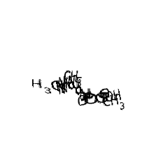 CN(c1ccc(-c2ccc(N3C[C@H](COP(C)(=O)O)OC3=O)cc2F)cn1)c1nnn(C)n1